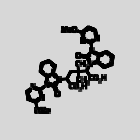 COc1ccnc(-n2c(=O)n(C(CC(C)(C)C(C(=O)O)n3c(=O)n(-c4nccc(OC)n4)c4ccccc43)C(=O)O)c3ccccc32)n1